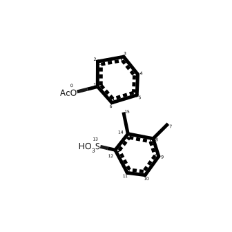 CC(=O)Oc1ccccc1.Cc1cccc(S(=O)(=O)O)c1C